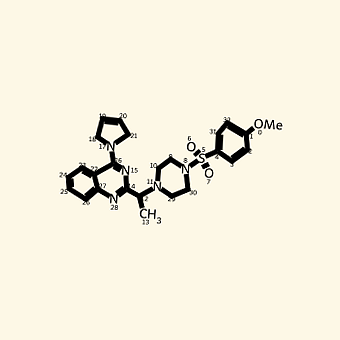 COc1ccc(S(=O)(=O)N2CCN(C(C)c3nc(N4CC=CC4)c4ccccc4n3)CC2)cc1